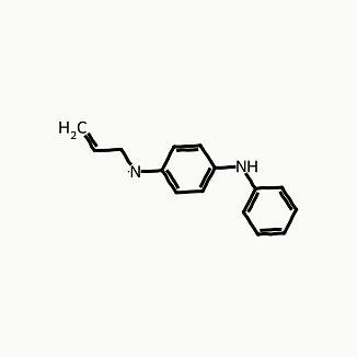 C=CC[N]c1ccc(Nc2ccccc2)cc1